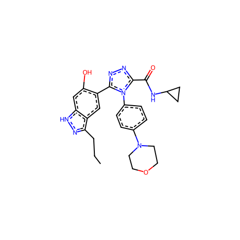 CCCc1n[nH]c2cc(O)c(-c3nnc(C(=O)NC4CC4)n3-c3ccc(N4CCOCC4)cc3)cc12